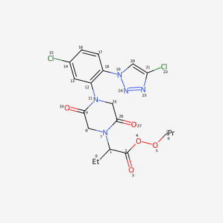 CCC(C(=O)OOC(C)C)N1CC(=O)N(c2cc(Cl)ccc2-n2cc(Cl)nn2)CC1=O